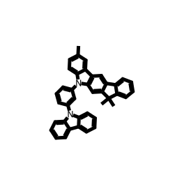 Cc1ccc2c(c1)c1cc3c(cc1n2-c1cccc(-n2c4ccccc4c4ccccc42)c1)C(C)(C)c1ccccc1-3